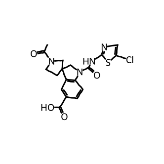 CC(=O)N1CCC2(C1)CN(C(=O)Nc1ncc(Cl)s1)c1ccc(C(=O)O)cc12